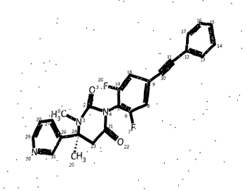 CN1C(=O)N(c2c(F)cc(C#Cc3ccccc3)cc2F)C(=O)C[C@@]1(C)c1cccnc1